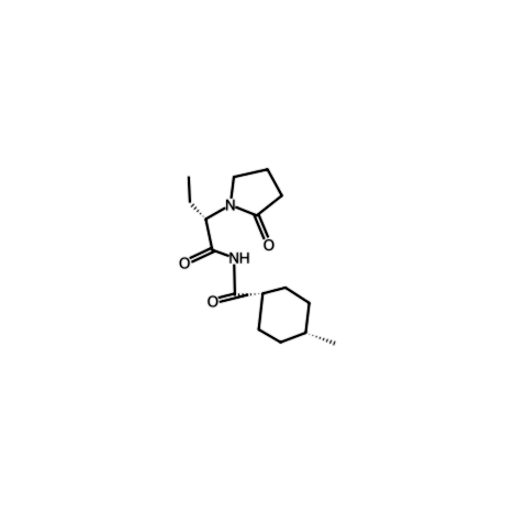 CC[C@@H](C(=O)NC(=O)[C@H]1CC[C@@H](C)CC1)N1CCCC1=O